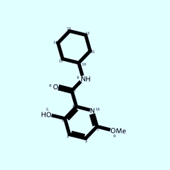 COc1ccc(O)c(C(=O)NC2CCCCC2)n1